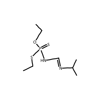 CCOP(=S)(NC=NC(C)C)SCC